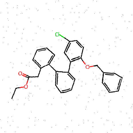 CCOC(=O)Cc1ccccc1-c1ccccc1-c1cc(Cl)ccc1OCc1ccccc1